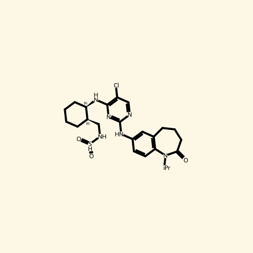 CC(C)N1C(=O)CCCc2cc(Nc3ncc(Cl)c(N[C@@H]4CCCC[C@@H]4CN[SH](=O)=O)n3)ccc21